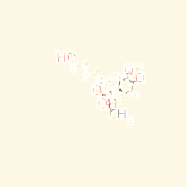 CCCC(CCCCCCO)(C(=O)O)c1ccc2c(c1)OCO2